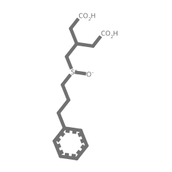 O=C(O)CC(CC(=O)O)C[S+]([O-])CCCc1ccccc1